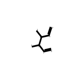 [CH]=CC(C)C(C)C=[CH]